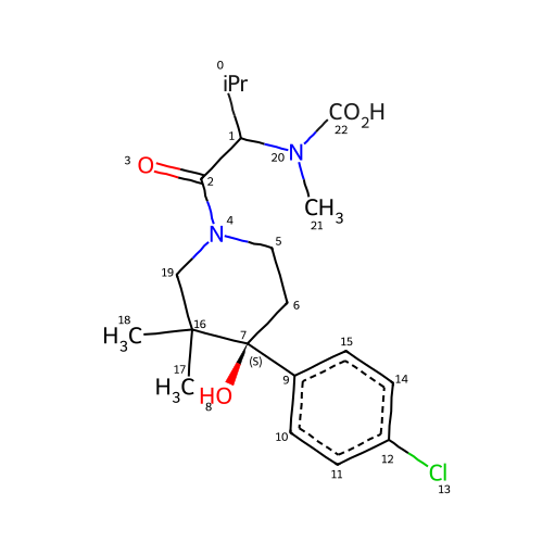 CC(C)C(C(=O)N1CC[C@](O)(c2ccc(Cl)cc2)C(C)(C)C1)N(C)C(=O)O